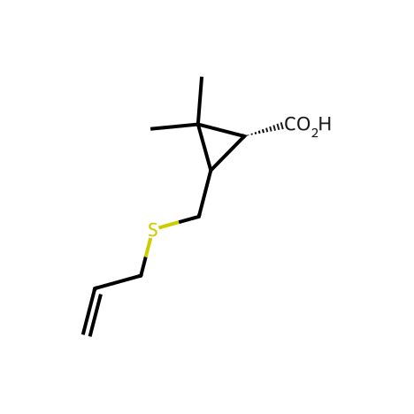 C=CCSCC1[C@@H](C(=O)O)C1(C)C